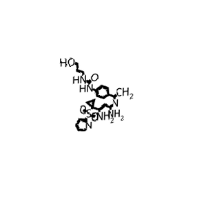 C=C(/N=C(N)\C=C(/N)C1(S(=O)(=O)c2ccccn2)CC1)c1ccc(NC(=O)NCCCO)cc1